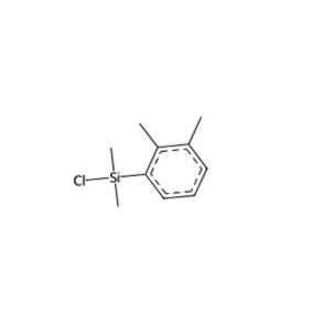 Cc1cccc([Si](C)(C)Cl)c1C